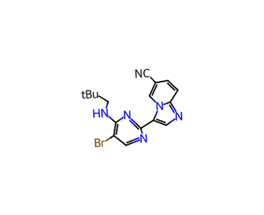 CC(C)(C)CNc1nc(-c2cnc3ccc(C#N)cn23)ncc1Br